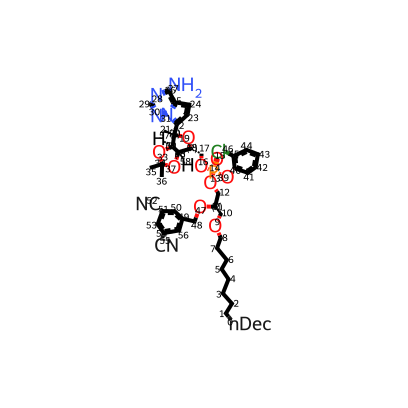 CCCCCCCCCCCCCCCCCCOC[C@H](COP(=O)(OC[C@H]1O[C@@](C)(c2ccc3c(N)ncnn23)[C@@H]2OC(C)(C)O[C@@H]21)Oc1ccccc1Cl)OCc1cc(C#N)cc(C#N)c1